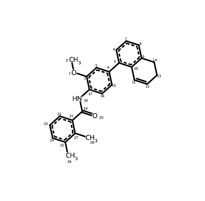 COc1cc(-c2cccc3c2C=CCC3)ccc1NC(=O)c1cccc(C)c1C